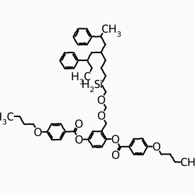 CCCCOc1ccc(C(=O)Oc2ccc(OC(=O)c3ccc(OCCCC)cc3)c(COCOC[SiH2]CCCC(CC(C)c3ccccc3)CC(CC)c3ccccc3)c2)cc1